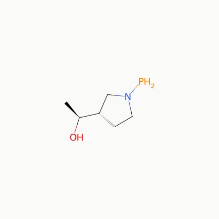 C[C@H](O)[C@H]1CCN(P)C1